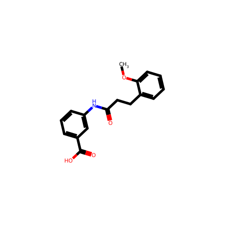 COc1ccccc1CCC(=O)Nc1cccc(C(=O)O)c1